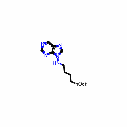 CCCCCCCCCCCCNn1cnc2cncnc21